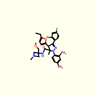 CCc1ccc(C2C(c3ccc(F)cc3F)=NN(c3ccc(P)cc3P)C2(C)C(=O)NC2(COC)CN(C)C2)o1